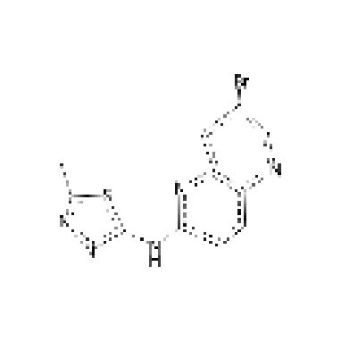 Cc1nnc(Nc2ccc3ncc(Br)cc3n2)s1